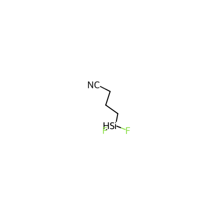 N#CCCC[SiH](F)F